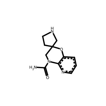 NC(=O)N1CC2(CCNC2)Oc2cccnc21